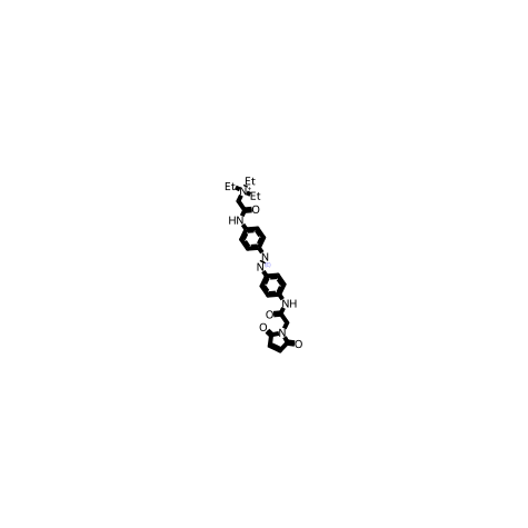 CC[N+](CC)(CC)CC(=O)Nc1ccc(/N=N/c2ccc(NC(=O)CN3C(=O)C=CC3=O)cc2)cc1